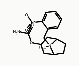 C[N+]1(Cc2ccccc2[N+](=O)[O-])C2CCC1CC(OC(N)=O)C2